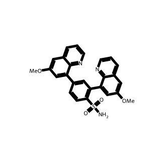 COc1cc(-c2ccc(S(N)(=O)=O)c(-c3cc(OC)cc4cccnc34)c2)c2ncccc2c1